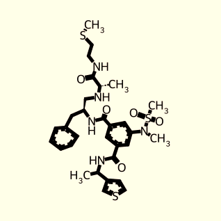 CSCCNC(=O)[C@H](C)NC[C@H](Cc1ccccc1)NC(=O)c1cc(C(=O)NC(C)c2ccsc2)cc(N(C)S(C)(=O)=O)c1